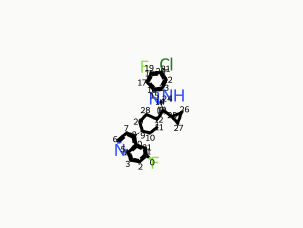 Fc1ccc2nccc([C@H]3CC[C@@H]([C@H](c4nc5cc(F)c(Cl)cc5[nH]4)C4CC4)CC3)c2c1